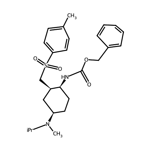 Cc1ccc(S(=O)(=O)C[C@@H]2C[C@H](N(C)C(C)C)CC[C@@H]2NC(=O)OCc2ccccc2)cc1